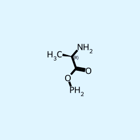 C[C@@H](N)C(=O)OP